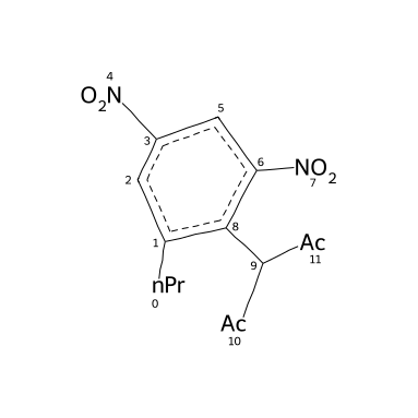 CCCc1cc([N+](=O)[O-])cc([N+](=O)[O-])c1C(C(C)=O)C(C)=O